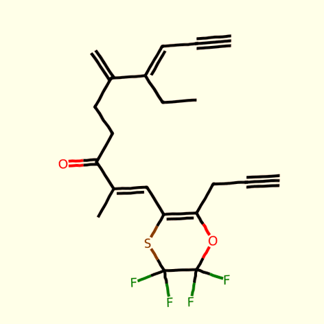 C#C/C=C(\CC)C(=C)CCC(=O)/C(C)=C/C1=C(CC#C)OC(F)(F)C(F)(F)S1